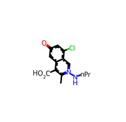 CCCNn1cc2c(Cl)cc(=O)cc-2c(C(=O)O)c1C